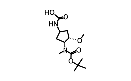 CO[C@H]1C[C@H](NC(=O)O)C[C@@H]1N(C)C(=O)OC(C)(C)C